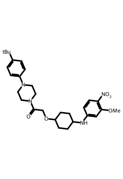 COc1cc(NC2CCC(OCC(=O)N3CCN(c4ccc(C(C)(C)C)cc4)CC3)CC2)ccc1[N+](=O)[O-]